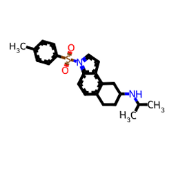 Cc1ccc(S(=O)(=O)n2ccc3c4c(ccc32)CCC(NC(C)C)C4)cc1